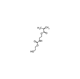 C=C(C)C(=O)OCCNC(=O)OCCO